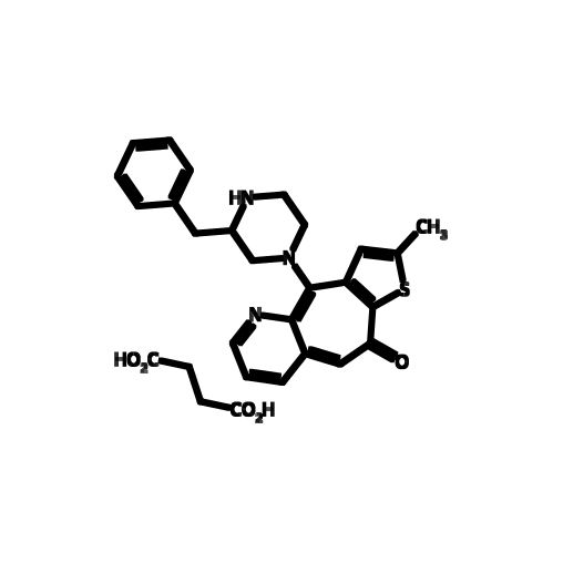 Cc1cc2c(N3CCNC(Cc4ccccc4)C3)c3ncccc3cc(=O)c2s1.O=C(O)CCC(=O)O